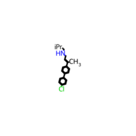 CC(=CCNCC(C)C)c1ccc(-c2ccc(Cl)cc2)cc1